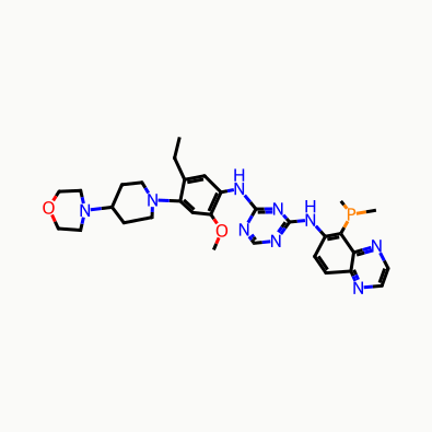 CCc1cc(Nc2ncnc(Nc3ccc4nccnc4c3P(C)C)n2)c(OC)cc1N1CCC(N2CCOCC2)CC1